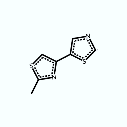 Cc1nc(-c2cn[c]s2)cs1